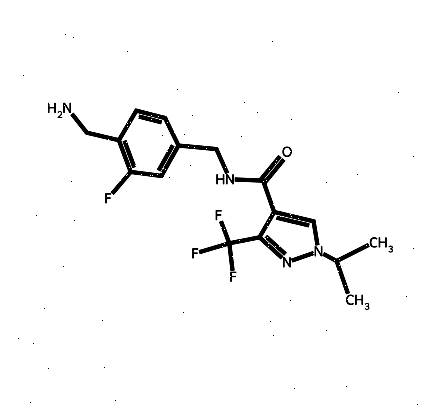 CC(C)n1cc(C(=O)NCc2ccc(CN)c(F)c2)c(C(F)(F)F)n1